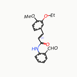 CCOc1cc(/C=C/C(=O)Nc2ccccc2C=O)ccc1OC